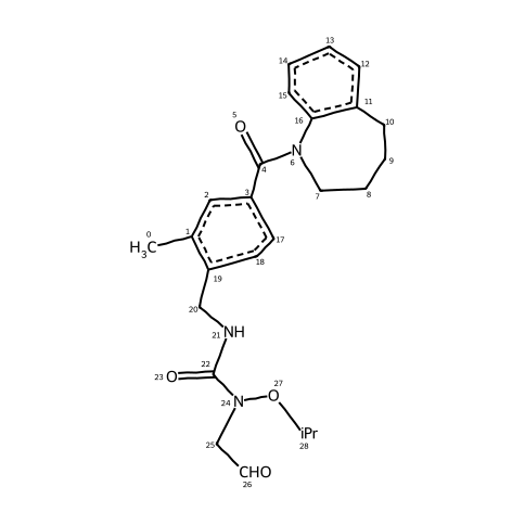 Cc1cc(C(=O)N2CCCCc3ccccc32)ccc1CNC(=O)N(CC=O)OC(C)C